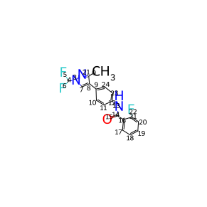 Cc1nn(C(F)F)cc1-c1ccc(NC(=O)c2ccccc2F)cc1